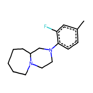 Cc1ccc(N2CCN3CCCCCC3C2)c(F)c1